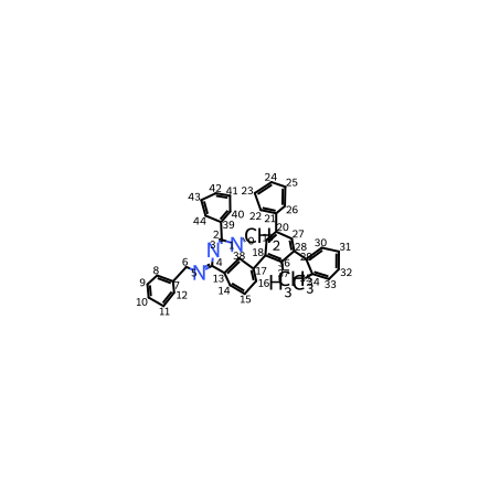 C=N/C(=N\C(=N/Cc1ccccc1)c1cccc(-c2cc(-c3ccccc3)cc(-c3ccccc3C)c2C)c1)c1ccccc1